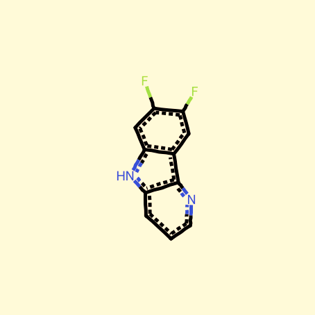 Fc1cc2[nH]c3cccnc3c2cc1F